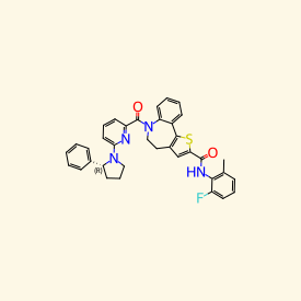 Cc1cccc(F)c1NC(=O)c1cc2c(s1)-c1ccccc1N(C(=O)c1cccc(N3CCC[C@@H]3c3ccccc3)n1)CC2